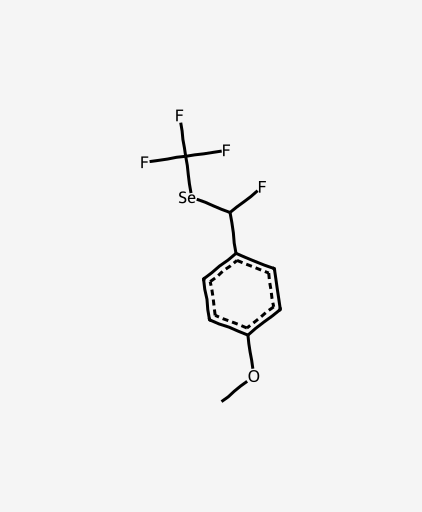 COc1ccc(C(F)[Se]C(F)(F)F)cc1